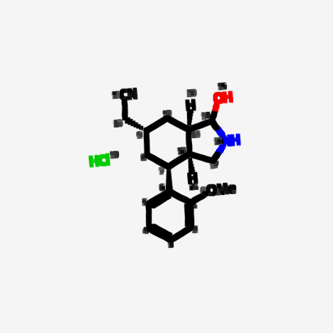 COc1ccccc1[C@H]1C[C@H](CC#N)C[C@H]2C(O)NC[C@@H]12.Cl